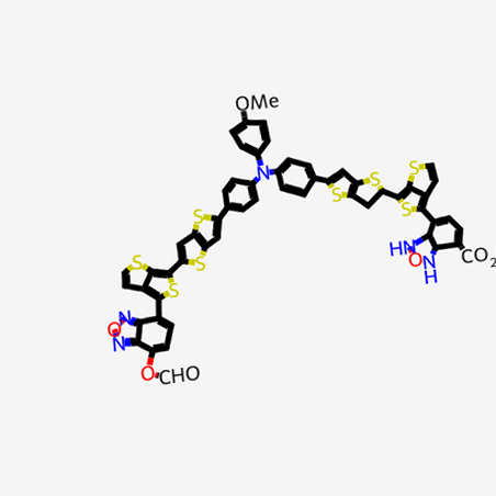 COc1ccc(N(c2ccc(-c3cc4c(s3)CC(c3sc(C5=CC=C(C(=O)O)C6NONC56)c5ccsc35)S4)cc2)c2ccc(-c3cc4sc(-c5sc(-c6ccc(OC=O)c7nonc67)c6ccsc56)cc4s3)cc2)cc1